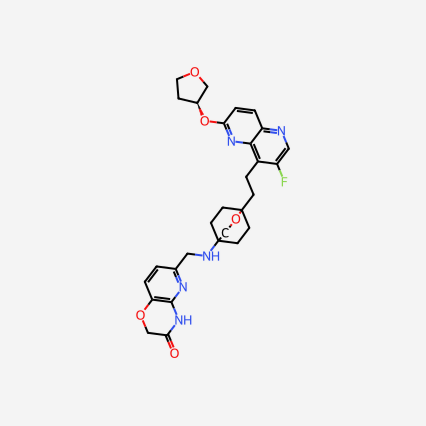 O=C1COc2ccc(CNC34CCC(CCc5c(F)cnc6ccc(O[C@H]7CCOC7)nc56)(CC3)OC4)nc2N1